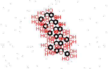 OC1=CC([C@H]2Oc3c([C@@H]4c5c(O)cc(O)c([C@H]6c7c(O)cc(O)c([C@@H]8c9c(O)cc(O)c([C@H]%10c%11c(O)cc(O)cc%11O[C@H](c%11cc(O)c(O)c(O)c%11)[C@@H]%10O)c9O[C@H](c9cc(O)c(O)c(O)c9)[C@@H]8O)c7O[C@H](c7cc(O)c(O)c(O)c7)[C@@H]6O)c5O[C@H](c5cc(O)c(O)c(O)c5)[C@@H]4O)c(O)cc(O)c3[C@H](c3c(O)cc(O)c4c3O[C@H](c3cc(O)c(O)c(O)c3)[C@H](O)C4)[C@H]2O)CC(O)=C1O